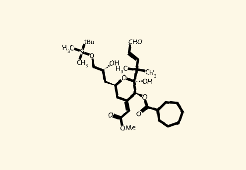 COC(=O)/C=C1\C[C@@H](C[C@@H](O)CO[Si](C)(C)C(C)(C)C)O[C@@](O)(C(C)(C)/C=C/C=O)[C@H]1OC(=O)C1CCCCCC1